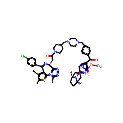 Cc1sc2c(c1C)C(c1ccc(Cl)cc1)=N[C@@H](CC(=O)N1CCC(CN3CCN(Cc4ccc(C(=O)c5ccc(N6[C@@H]7CC[C@H]6C[C@@H](NC(=O)OC(C)(C)C)C7)nc5)cc4)CC3)CC1)c1nnc(C)n1-2